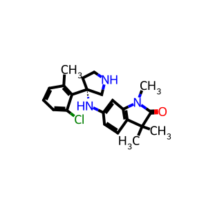 Cc1cccc(Cl)c1[C@@]1(Nc2ccc3c(c2)N(C)C(=O)C3(C)C)CCNC1